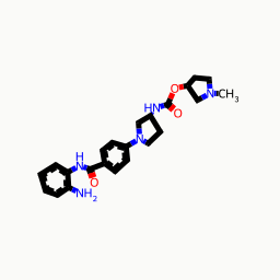 CN1CCC(OC(=O)N[C@H]2CCN(c3ccc(C(=O)Nc4ccccc4N)cc3)C2)C1